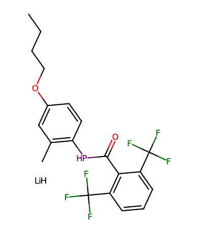 CCCCOc1ccc(PC(=O)c2c(C(F)(F)F)cccc2C(F)(F)F)c(C)c1.[LiH]